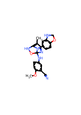 COc1ccc(NC23N=CC(C)=C(NO2)N3c2ccc3c(c2)NCO3)cc1C#N